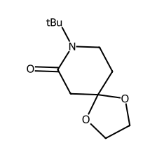 CC(C)(C)N1CCC2(CC1=O)OCCO2